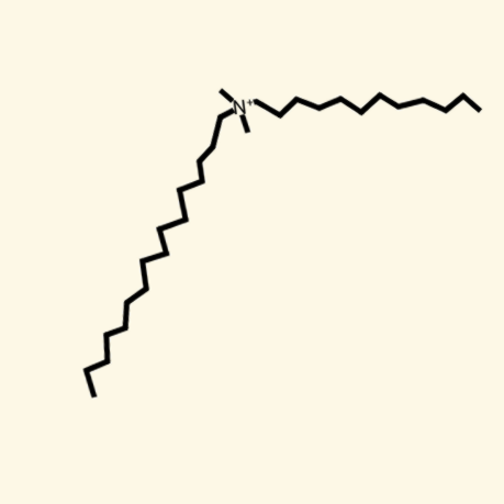 CCCCCCCCCCCCCCCC[N+](C)(C)CCCCCCCCCCCC